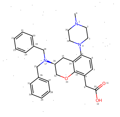 CN1CCN(c2ccc(CC(=O)O)c3c2C[C@H](N(Cc2ccccc2)Cc2ccccc2)CO3)CC1